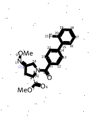 CO/N=C1/C[C@@H](C(=O)OC)N(C(=O)c2ccc(-c3ccccc3F)cc2)C1